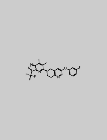 Cc1c(N2CCc3ncc(Oc4cccc(F)c4)cc3C2)nn2c(C(F)(F)F)nnc2c1C